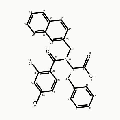 O=C(O)[C@H](Cc1ccccc1)N(Cc1ccc2ccccc2c1)C(=O)c1ccc(Cl)cc1Cl